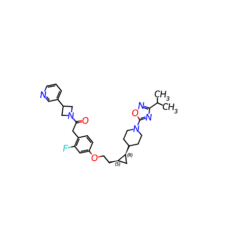 CC(C)c1noc(N2CCC([C@H]3C[C@H]3CCOc3ccc(CC(=O)N4CC(c5cccnc5)C4)c(F)c3)CC2)n1